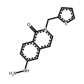 NNc1ccc2c(=O)n(Cc3cccs3)ccc2c1